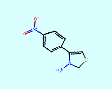 NN1CSC=C1c1ccc([N+](=O)[O-])cc1